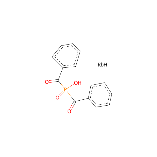 O=C(c1ccccc1)P(=O)(O)C(=O)c1ccccc1.[RbH]